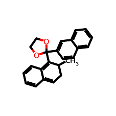 CC1CC=c2ccccc2=C1C1(c2ccc3ccccc3c2)OCCO1